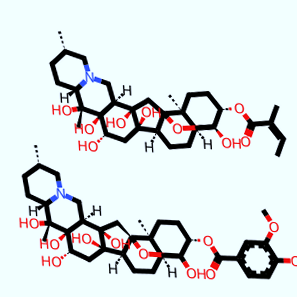 C/C=C(/C)C(=O)O[C@H]1CC[C@@]2(C)[C@@H]3CC[C@@H]4C2(C[C@@]2(O)[C@@H]5CN6C[C@@H](C)CC[C@H]6[C@@](C)(O)[C@@]5(O)[C@@H](O)C[C@@]42O)O[C@]13O.COc1ccc(C(=O)O[C@H]2CC[C@@]3(C)[C@@H]4CC[C@H]5[C@]6(O)C[C@H](O)[C@@]7(O)[C@@H](CN8C[C@@H](C)CC[C@H]8[C@@]7(C)O)[C@]6(O)C[C@@]53OC24O)cc1OC